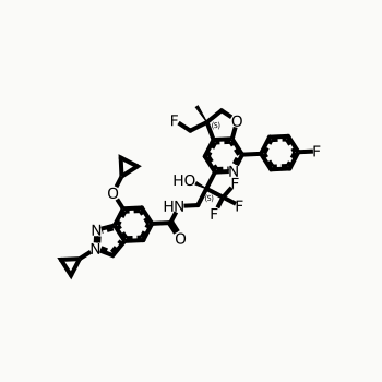 C[C@@]1(CF)COc2c1cc([C@@](O)(CNC(=O)c1cc(OC3CC3)c3nn(C4CC4)cc3c1)C(F)(F)F)nc2-c1ccc(F)cc1